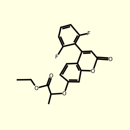 CCOC(=O)C(C)Oc1ccc2c(-c3c(F)cccc3F)cc(=O)oc2c1